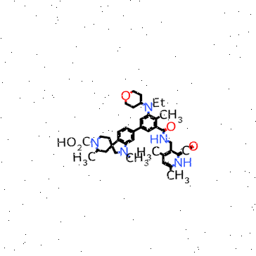 CCN(c1cc(-c2ccc3c(c2)N(C)CC32CCN(C(=O)O)C(C)C2)cc(C(=O)NCC2=C(C)C=C(C)NC2=C=O)c1C)C1CCOCC1